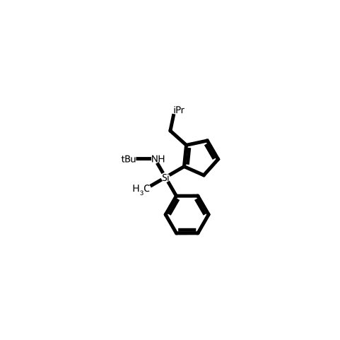 CC(C)CC1=C([Si](C)(NC(C)(C)C)c2ccccc2)CC=C1